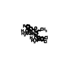 CCCC1CN(C(C)(Cc2ccc(Cl)c(Cl)c2)C(N)=O)CCN1C(=O)C(Cc1ccc(F)cc1)NC(=O)C(C)(C)N